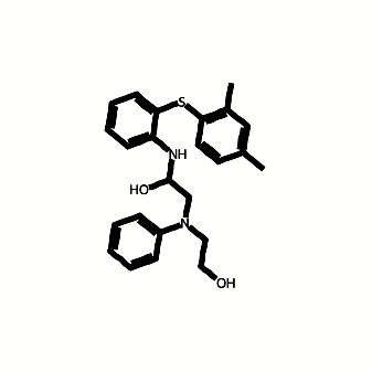 Cc1ccc(Sc2ccccc2NC(O)CN(CCO)c2ccccc2)c(C)c1